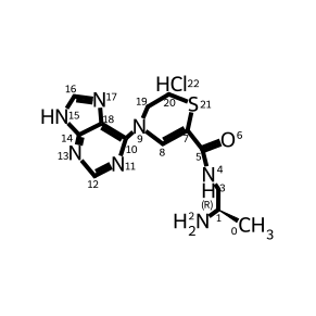 C[C@@H](N)CNC(=O)C1=CN(c2ncnc3[nH]cnc23)CCS1.Cl